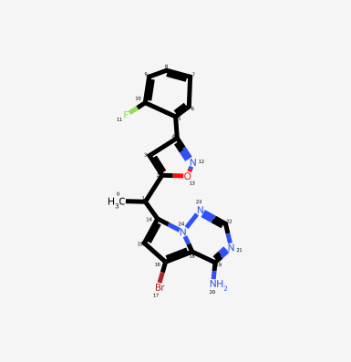 CC(c1cc(-c2ccccc2F)no1)c1cc(Br)c2c(N)ncnn12